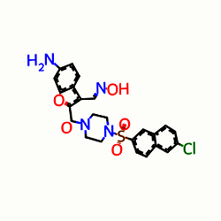 Nc1ccc2c(C=NO)c(C(=O)N3CCN(S(=O)(=O)c4ccc5cc(Cl)ccc5c4)CC3)oc2c1